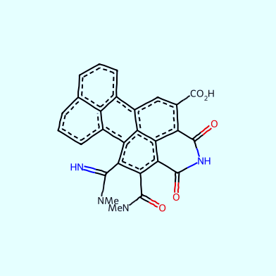 CNC(=N)c1c(C(=O)NC)c2c3c(c(C(=O)O)cc4c5cccc6cccc(c1c34)c65)C(=O)NC2=O